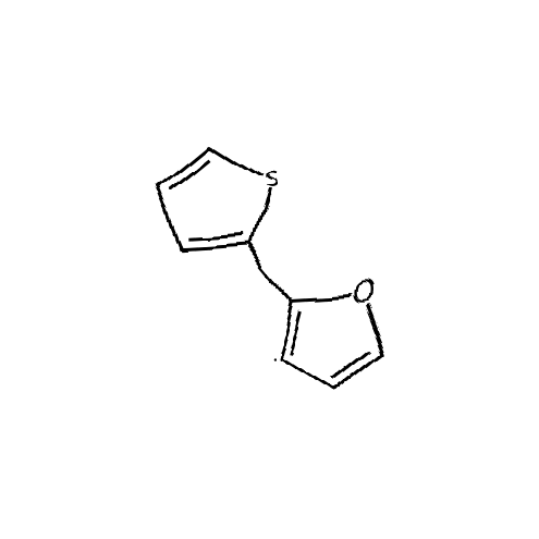 [c]1ccoc1-c1cccs1